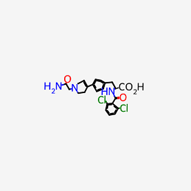 NC(=O)CN1CC=C(c2ccc(C[C@H](NC(=O)c3c(Cl)cccc3Cl)C(=O)O)cc2)CC1